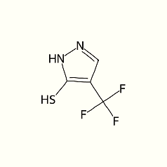 FC(F)(F)c1cn[nH]c1S